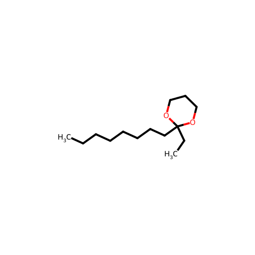 CCCCCCCCC1(CC)OCCCO1